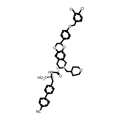 N#Cc1ccc(-c2ccc(C[C@H](NC(=O)[C@@H]3Cc4cc5c(cc4CN3CC3CCOCC3)OC(c3ccc(OCc4ccc(Cl)c(Cl)c4)cc3)CO5)C(=O)O)cc2)cc1